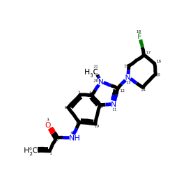 C=CC(=O)Nc1ccc2c(c1)nc(N1CCCC(F)C1)n2C